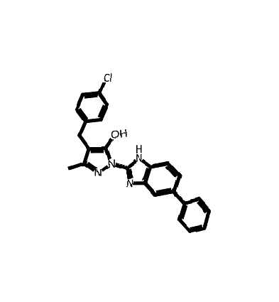 Cc1nn(-c2nc3cc(-c4ccccc4)ccc3[nH]2)c(O)c1Cc1ccc(Cl)cc1